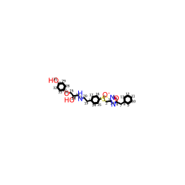 [O-][S+](Cc1noc(Cc2ccccc2)n1)c1ccc(CCNC[C@H](O)COc2ccc(O)cc2)cc1